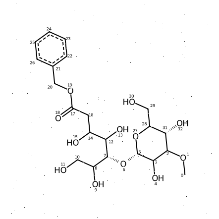 COC1C(O)[C@H](O[C@H](C(O)CO)C(O)C(O)CC(=O)OCc2ccccc2)OC(CO)[C@@H]1O